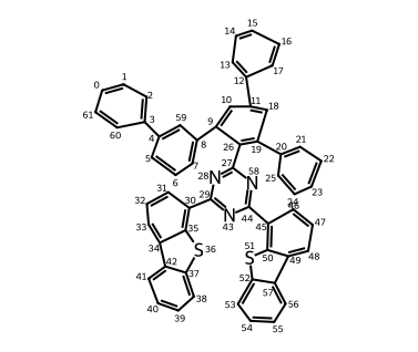 c1ccc(-c2cccc(-c3cc(-c4ccccc4)cc(-c4ccccc4)c3-c3nc(-c4cccc5c4sc4ccccc45)nc(-c4cccc5c4sc4ccccc45)n3)c2)cc1